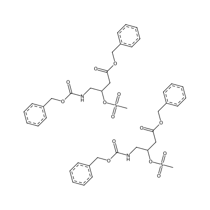 CS(=O)(=O)OC(CNC(=O)OCc1ccccc1)CC(=O)OCc1ccccc1.CS(=O)(=O)OC(CNC(=O)OCc1ccccc1)CC(=O)OCc1ccccc1